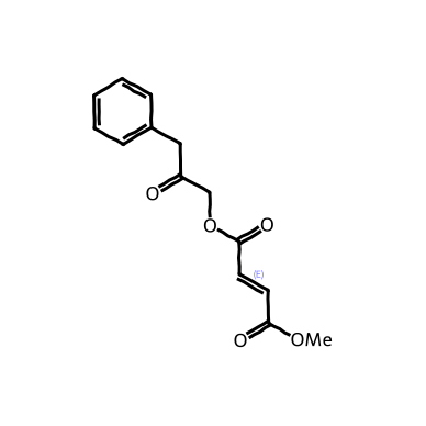 COC(=O)/C=C/C(=O)OCC(=O)Cc1ccccc1